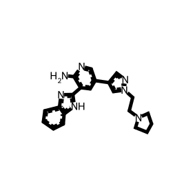 Nc1ncc(-c2cnn(CCN3CCCC3)c2)cc1-c1nc2ccccc2[nH]1